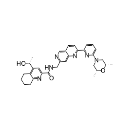 C[C@@H]1CN(c2cccc(-c3ccc4cnc(CNC(=O)c5cc([C@@H](C)O)c6c(n5)CCCC6)cc4n3)n2)C[C@H](C)O1